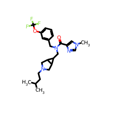 CC(C)CCN1CC2C(C1)C2CN(Cc1cccc(OC(F)(F)F)c1)C(=O)c1cn(C)cn1